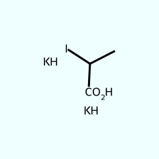 CC(I)C(=O)O.[KH].[KH]